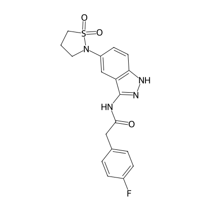 O=C(Cc1ccc(F)cc1)Nc1n[nH]c2ccc(N3CCCS3(=O)=O)cc12